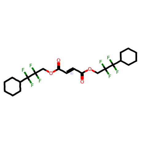 O=C(/C=C/C(=O)OCC(F)(F)C(F)(F)C1CCCCC1)OCC(F)(F)C(F)(F)C1CCCCC1